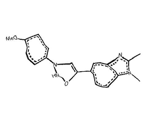 COc1ccc(N2C=C(c3ccc4c(c3)nc(C)n4C)ON2)cc1